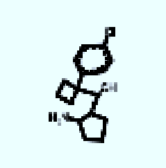 NC1CCCC1C(O)C1(c2ccc(Cl)cc2)CCC1